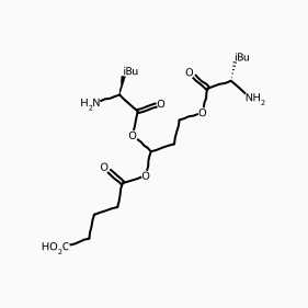 CCC(C)[C@H](N)C(=O)OCCC(OC(=O)CCCC(=O)O)OC(=O)[C@@H](N)C(C)CC